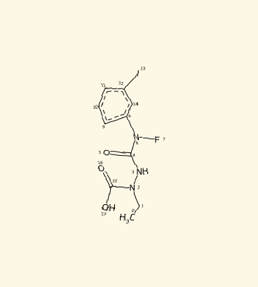 CCN(NC(=O)N(F)c1cccc(I)c1)C(=O)O